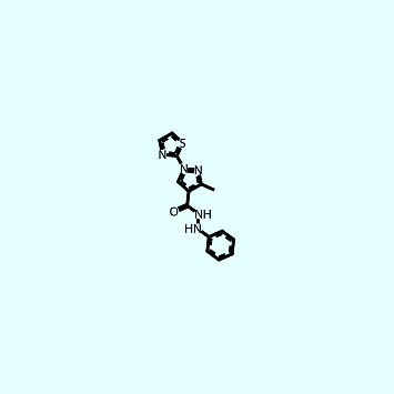 Cc1nn(-c2nccs2)cc1C(=O)NNc1ccccc1